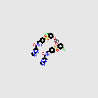 CCOc1ccc(Cl)cc1S(=O)(=O)c1ccc(CNC(=O)c2cnc3nccn3c2)cc1.O=C(NCc1ccc(S(=O)(=O)c2cc(OC(F)(F)F)ccc2Cl)cc1)c1cnc2nccn2c1